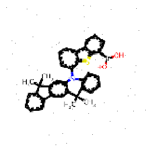 CC1(C)c2ccccc2-c2cc3c(cc21)N(c1cccc2c1sc1c(B(O)O)cccc12)c1ccccc1C3(C)C